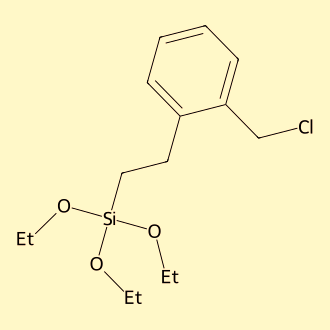 CCO[Si](CCc1ccccc1CCl)(OCC)OCC